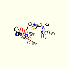 CC[C@H](C)[C@H](NC(=O)[C@H]1CCCCN1C)C(=O)N(COC(=O)CC(C)C)[C@H](CCC[C@@H](OC(C)=O)c1nc(C(=O)N[C@@H](Cc2ccccc2)C[C@H](C)C(=O)O)cs1)C(C)C